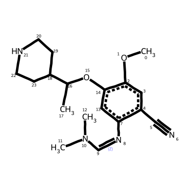 COc1cc(C#N)c(/N=C\N(C)C)cc1OC(C)C1CCNCC1